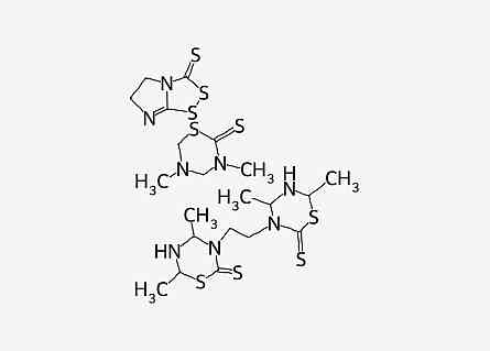 CC1NC(C)N(CCN2C(=S)SC(C)NC2C)C(=S)S1.CN1CSC(=S)N(C)C1.S=C1SSC2=NCCN12